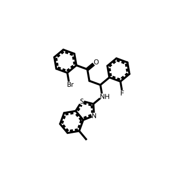 Cc1cccc2sc(NC(CC(=O)c3ccccc3Br)c3ccccc3F)nc12